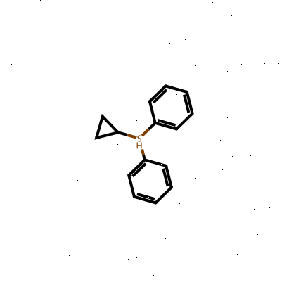 c1ccc([SH](c2ccccc2)C2CC2)cc1